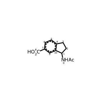 CC(=O)NC1CCc2ccc(C(=O)O)cc21